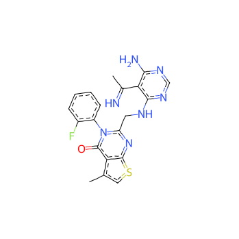 CC(=N)c1c(N)ncnc1NCc1nc2scc(C)c2c(=O)n1-c1ccccc1F